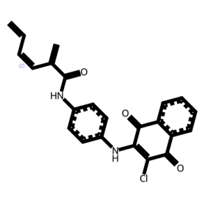 C=C/C=C\C(=C)C(=O)Nc1ccc(NC2=C(Cl)C(=O)c3ccccc3C2=O)cc1